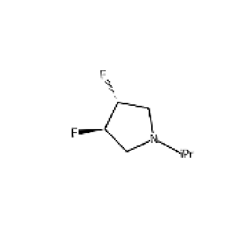 CC(C)N1C[C@@H](F)[C@H](F)C1